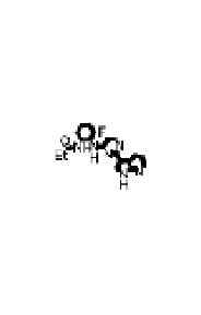 CCC(=O)N[C@@H]1CCCC[C@@H]1Nc1nc(-c2c[nH]c3ncccc23)ncc1F